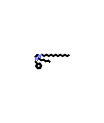 CCCCCCCCCCCCC[n+]1ccn(Cc2ccccc2)c1CCCCC